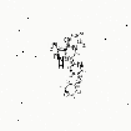 CC(C)C(C)n1cc(-c2ccc(OC3CCOCC3)cn2)c2[nH]nc(N)c2c1=O